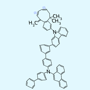 C=C1/C=C\C=C/CC(C)(C)c2cc(-n3c4ccccc4c4ccc(-c5cccc(-c6ccc(N(c7ccc(-c8ccccc8)cc7)c7cc8ccccc8c8ccccc78)cc6)c5)cc43)ccc21